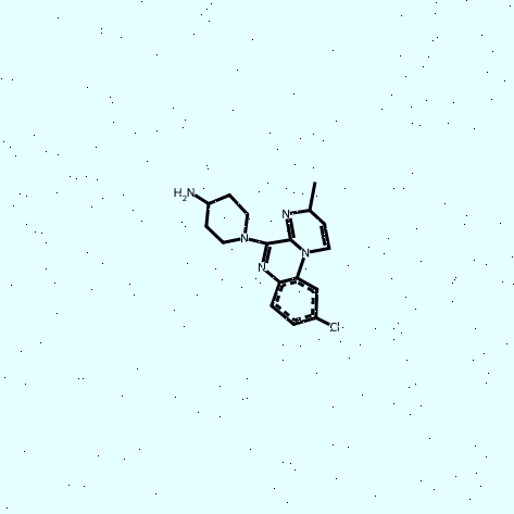 CC1C=CN2C(=N1)C(N1CCC(N)CC1)=Nc1ccc(Cl)cc12